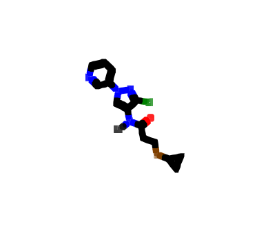 CCN(C(=O)CCSC1CC1)c1cn(-c2cccnc2)nc1Cl